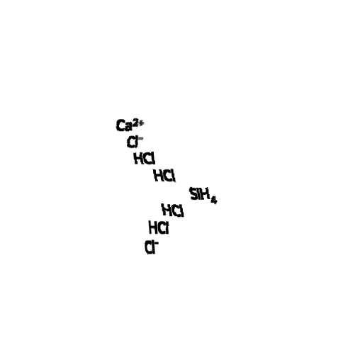 Cl.Cl.Cl.Cl.[Ca+2].[Cl-].[Cl-].[SiH4]